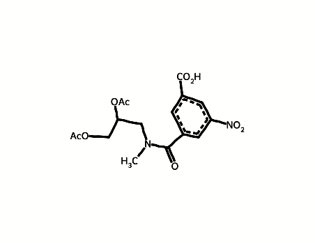 CC(=O)OCC(CN(C)C(=O)c1cc(C(=O)O)cc([N+](=O)[O-])c1)OC(C)=O